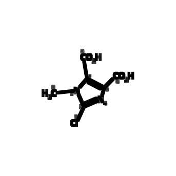 Cn1c(Cl)nc(C(=O)O)c1C(=O)O